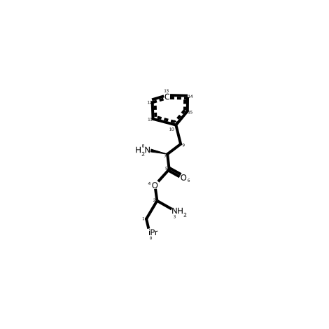 CC(C)CC(N)OC(=O)[C@@H](N)Cc1ccccc1